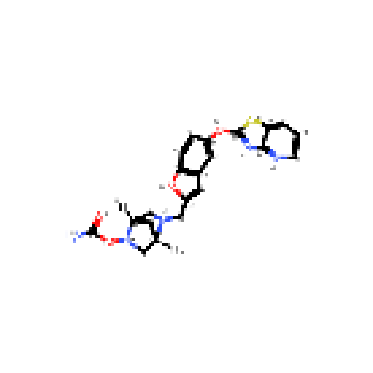 NC(=O)ON1C[C@@H]2C[C@H]1CN2Cc1cc2cc(Oc3nc4ncccc4s3)ccc2o1